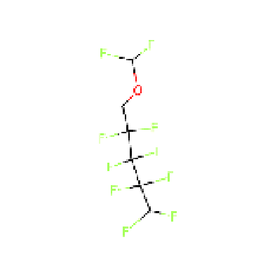 FC(F)OCC(F)(F)C(F)(F)C(F)(F)C(F)F